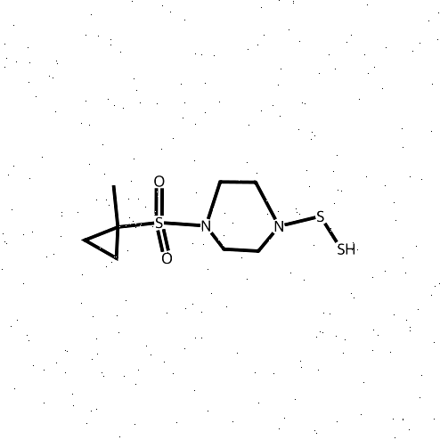 CC1(S(=O)(=O)N2CCN(SS)CC2)CC1